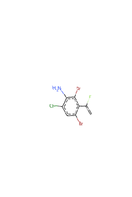 C=C(F)c1c(Br)cc(Cl)c(N)c1Br